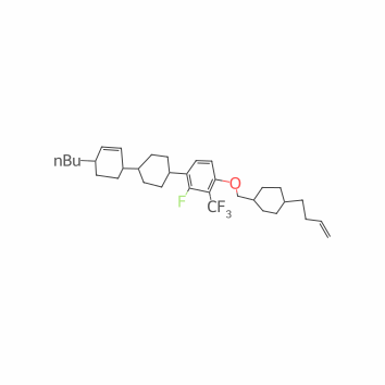 C=CCCC1CCC(COc2ccc(C3CCC(C4C=CC(CCCC)CC4)CC3)c(F)c2C(F)(F)F)CC1